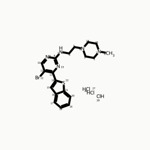 CN1CCN(CCNc2ncc(Br)c(-c3cc4ccccc4s3)n2)CC1.Cl.Cl.Cl